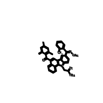 CCCCC(CC)Cn1c2ccc(/C(=N\OC(C)=O)c3ccccc3C(F)(F)F)cc2c2cc(C(=O)c3c(C)cc(C)cc3C)c3ccccc3c21